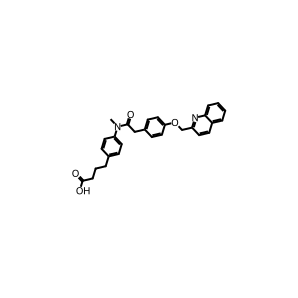 CN(C(=O)Cc1ccc(OCc2ccc3ccccc3n2)cc1)c1ccc(CCCC(=O)O)cc1